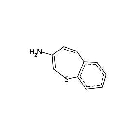 NC1=CSc2ccccc2C=C1